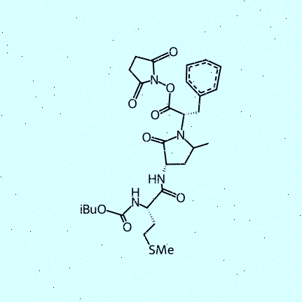 CSCC[C@H](NC(=O)OCC(C)C)C(=O)N[C@H]1CC(C)N([C@@H](Cc2ccccc2)C(=O)ON2C(=O)CCC2=O)C1=O